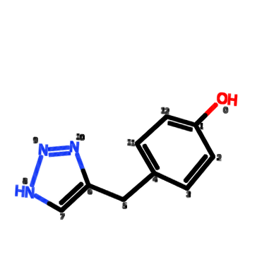 Oc1ccc(Cc2c[nH]nn2)cc1